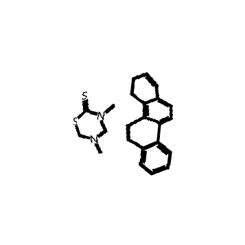 C1=Cc2ccc3c(c2CC1)CCc1ccccc1-3.CN1CSC(=S)N(C)C1